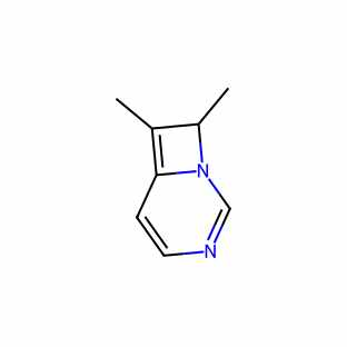 CC1=C2C=CN=CN2C1C